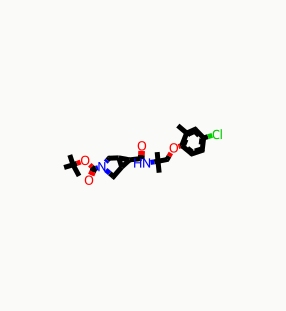 Cc1cc(Cl)ccc1OCC(C)(C)NC(=O)C1C2CN(C(=O)OC(C)(C)C)CC21